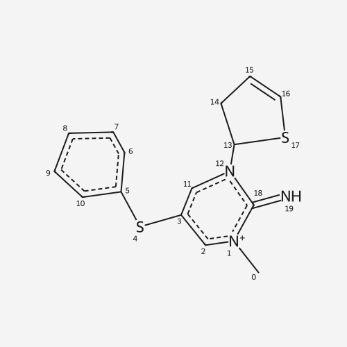 C[n+]1cc(Sc2ccccc2)cn(C2CC=CS2)c1=N